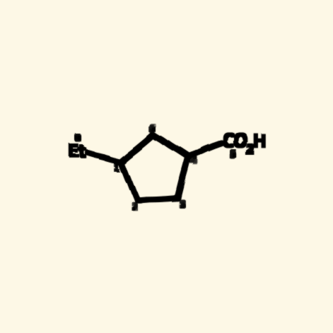 CCC1CCC(C(=O)O)C1